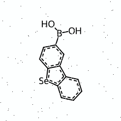 OB(O)c1ccc2[se]c3ccccc3c2c1